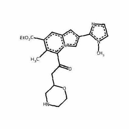 CCOC(=O)c1cc2cc(-c3nccn3C)cn2c(C(=O)CC2CNCCO2)c1C